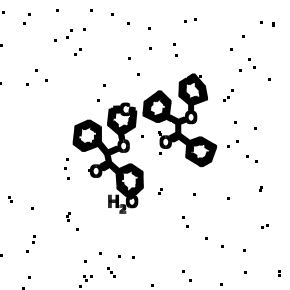 O.O=C(c1ccccc1)C(Oc1ccccc1)c1ccccc1.O=C(c1ccccc1)C(Oc1ccccc1)c1ccccc1